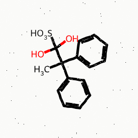 CC(c1ccccc1)(c1ccccc1)C(O)(O)S(=O)(=O)O